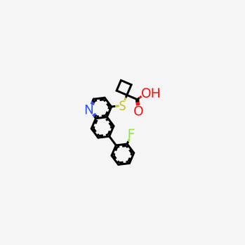 O=C(O)C1(Sc2ccnc3ccc(-c4ccccc4F)cc23)CCC1